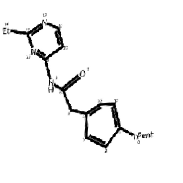 CCCCCc1ccc(CC(=O)Nc2ccnc(CC)n2)cc1